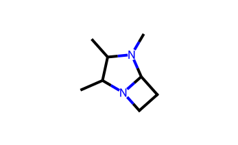 CC1C(C)N2CCC2N1C